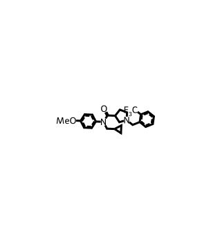 COc1ccc(N(CC2CC2)C(=O)C2CCN(Cc3ccccc3C(F)(F)F)C2)cc1